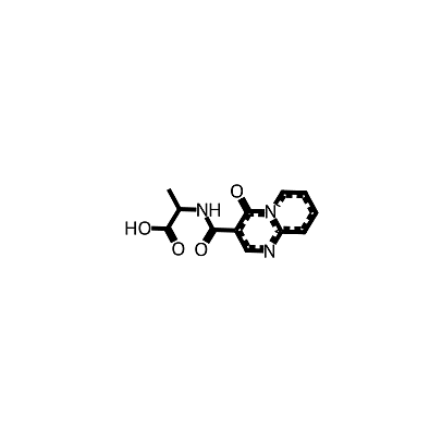 CC(NC(=O)c1cnc2ccccn2c1=O)C(=O)O